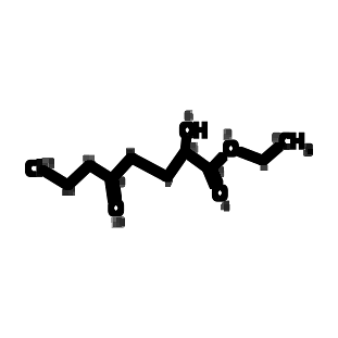 CCOC(=O)C(O)CCC(=O)CCCl